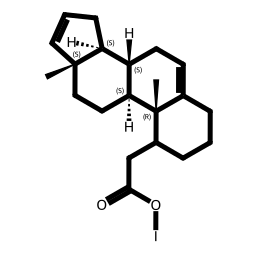 C[C@@]12C=CC[C@H]1[C@@H]1CC=C3CCCC(CC(=O)OI)[C@]3(C)[C@H]1CC2